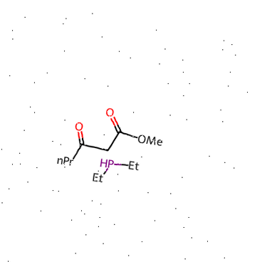 CCCC(=O)CC(=O)OC.CCPCC